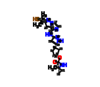 CC1(NC(=O)O[C@@H]2CC[C@H](c3cc(Nc4nccn5nc(C(C)(C)S)cc45)n[nH]3)C2)CC1